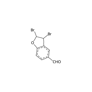 O=Cc1ccc2c(c1)C(Br)C(Br)O2